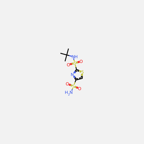 CC(C)(C)NS(=O)(=O)c1nc(S(N)(=O)=O)cs1